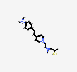 CC(S)CN(C)CC[n+]1ccc(/C=C/c2ccc(N(C)C)cc2)cc1